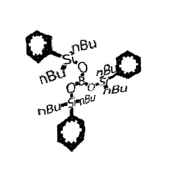 CCCC[Si](CCCC)(OB(O[Si](CCCC)(CCCC)c1ccccc1)O[Si](CCCC)(CCCC)c1ccccc1)c1ccccc1